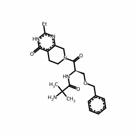 CCc1nc2c(c(=O)[nH]1)CCN(C(=O)[C@@H](COCc1ccccc1)NC(=O)C(C)(C)N)C2